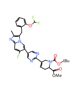 COC(=O)C1CC=C(c2ncc(-c3cn4c(Cc5ccccc5OC(F)F)c(C)nc4cc3F)cn2)CN1C(=O)OC(C)(C)C